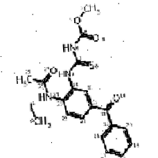 CI.COC(=O)NC(=S)Nc1cc(C(=O)c2ccccc2)ccc1NC(C)=O